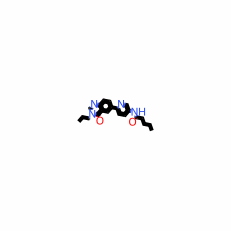 CCCCC(=O)Nc1ccc(-c2ccc3ncn(CCC)c(=O)c3c2)nc1